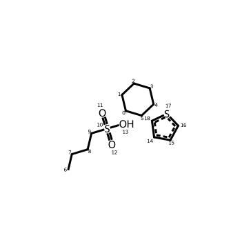 C1CCCCC1.CCCCS(=O)(=O)O.c1ccsc1